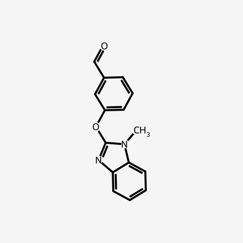 Cn1c(Oc2cccc(C=O)c2)nc2ccccc21